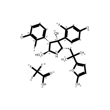 Cc1ccc(C(C)(C)C[C@@H]2N[C@@H](C(=O)O)[C@H](c3cccc(Cl)c3F)[C@@]2(C#N)c2ccc(Cl)cc2F)o1.O=C(O)C(F)(F)F